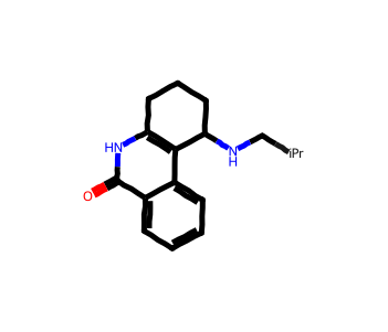 CC(C)CNC1CCCc2[nH]c(=O)c3ccccc3c21